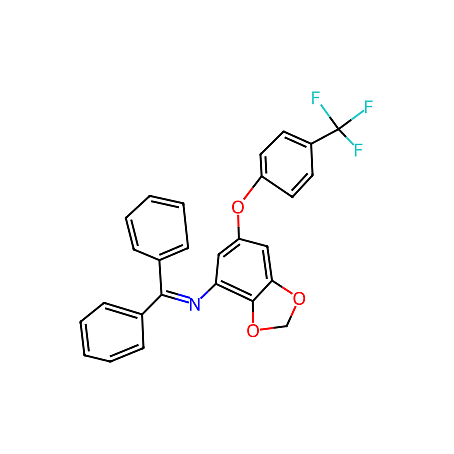 FC(F)(F)c1ccc(Oc2cc(N=C(c3ccccc3)c3ccccc3)c3c(c2)OCO3)cc1